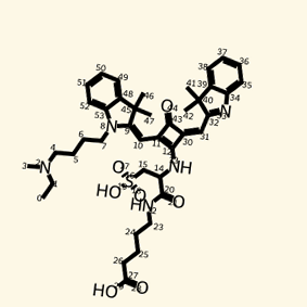 CCN(C)CCCCN1/C(=C/C2=C(NC(CS(=O)(=O)O)C(=O)NCCCCC(=O)O)C(=C/C3=Nc4ccccc4C3(C)C)/C2=O)C(C)(C)c2ccccc21